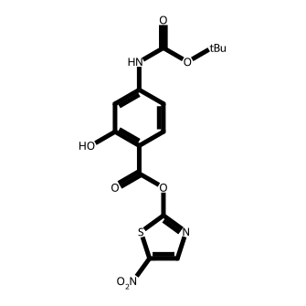 CC(C)(C)OC(=O)Nc1ccc(C(=O)Oc2ncc([N+](=O)[O-])s2)c(O)c1